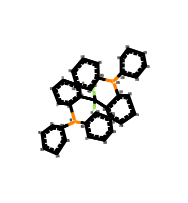 FC(F)(c1ccccc1P(c1ccccc1)c1ccccc1)c1ccccc1P(c1ccccc1)c1ccccc1